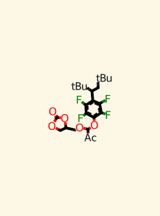 CC(=O)C(OCC1COC(=O)O1)Oc1c(F)c(F)c(C(CC(C)(C)C)C(C)(C)C)c(F)c1F